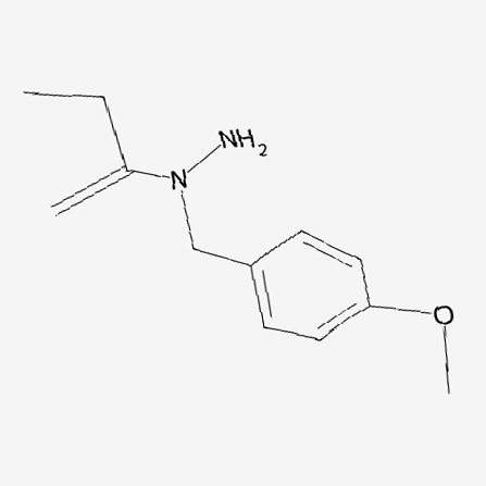 C=C(CC)N(N)Cc1ccc(OC)cc1